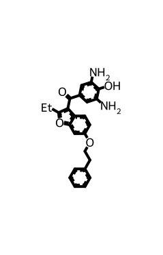 CCc1oc2cc(OCCc3ccccc3)ccc2c1C(=O)c1cc(N)c(O)c(N)c1